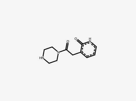 O=C(Cc1ccc[nH]c1=O)N1CCNCC1